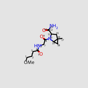 COCCCC(=O)NCC(=O)N1C(C(N)=O)CC2(C)CC12